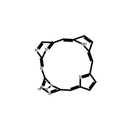 CCCCCn1c2cc3nc(cc4ccc(cc5nc(nc1nn2)N=C5)[nH]4)C=C3